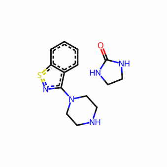 O=C1NCCN1.c1ccc2c(N3CCNCC3)nsc2c1